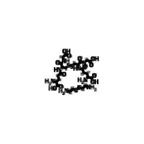 NC(CCC(=O)NC(CSSCC(NC(=O)CCC(N)C(=O)O)C(=O)NCC(=O)O)C(=O)NCC(=O)O)C(=O)O.NCCSSCCN